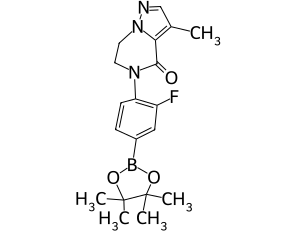 Cc1cnn2c1C(=O)N(c1ccc(B3OC(C)(C)C(C)(C)O3)cc1F)CC2